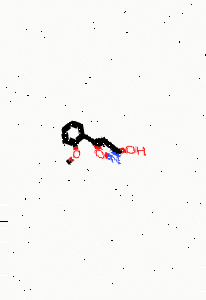 COc1ccccc1-c1cc(O)no1